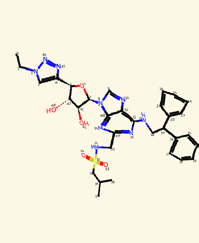 CCn1cc([C@H]2O[C@@H](n3cnc4c(NCC(c5ccccc5)c5ccccc5)nc(CNS(=O)(=O)CC(C)C)nc43)[C@@H](O)[C@@H]2O)nn1